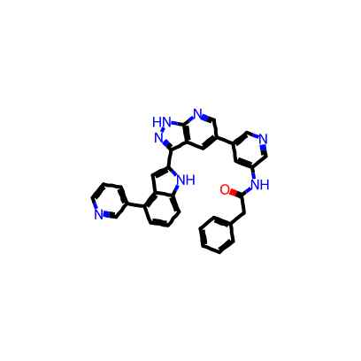 O=C(Cc1ccccc1)Nc1cncc(-c2cnc3[nH]nc(-c4cc5c(-c6cccnc6)cccc5[nH]4)c3c2)c1